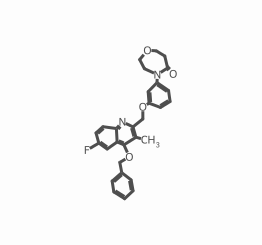 Cc1c(COc2cccc(N3CCOCCC3=O)c2)nc2ccc(F)cc2c1OCc1ccccc1